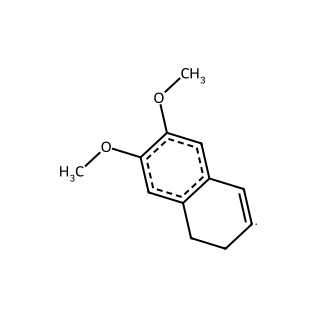 COc1cc2c(cc1OC)CC[C]=C2